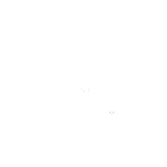 CSCC(NC(=O)CS)C(=O)O